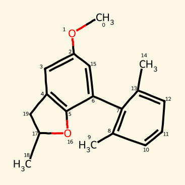 COc1cc2c(c(-c3c(C)cccc3C)c1)OC(C)C2